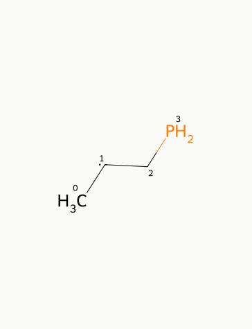 C[CH]CP